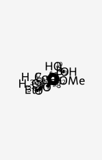 CCOC(Oc1ccc(B(O)O)c(OC)c1)[Si](C)(C)C